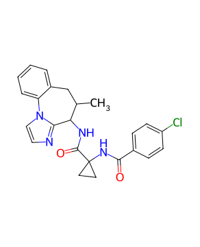 CC1Cc2ccccc2-n2ccnc2C1NC(=O)C1(NC(=O)c2ccc(Cl)cc2)CC1